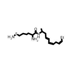 CC/C=C\C/C=C\C=C\CC(C)NC(=O)C(N)CCCCSN